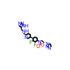 O=C1O[C@@H](Cn2ccnn2)CN1c1ccc(-c2ccc(CNCc3cnn[nH]3)nc2)c(F)c1F